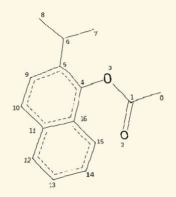 CC(=O)Oc1c(C(C)C)ccc2ccccc12